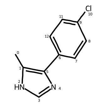 Cc1[nH]cnc1-c1ccc(Cl)cc1